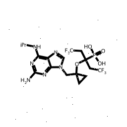 CC(C)Nc1nc(N)nc2c1ncn2CC1(OC(CC(F)(F)F)(CC(F)(F)F)P(=O)(O)O)CC1